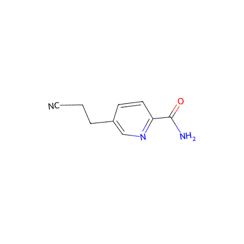 N#CCCc1ccc(C(N)=O)nc1